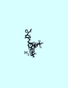 CCC(=O)c1ccc(CCc2ccc(C(C)(C)O[SiH2]C(C)(C)C)c(C(C)(C)O[SiH2]C(C)(C)C)c2)s1